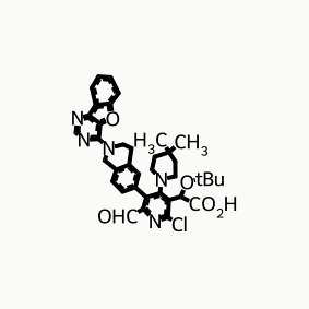 CC1(C)CCN(c2c(-c3ccc4c(c3)CCN(c3ncnc5c3oc3ccccc35)C4)c(C=O)nc(Cl)c2C(OC(C)(C)C)C(=O)O)CC1